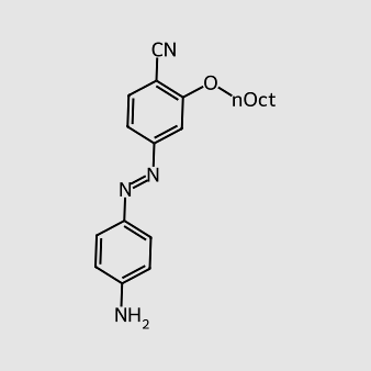 CCCCCCCCOc1cc(N=Nc2ccc(N)cc2)ccc1C#N